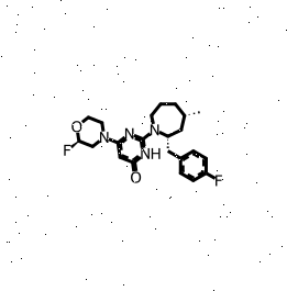 C[C@H]1CCCN(c2nc(N3CCO[C@H](F)C3)cc(=O)[nH]2)[C@@H](Cc2ccc(F)cc2)C1